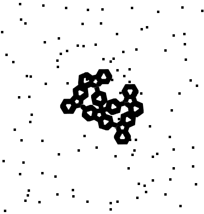 c1ccc2c(c1)c1ccccc1n2-c1ccc(C2(c3ccc(-n4c5ccccc5c5ccccc54)cc3)c3cc(-n4c5ccccc5c5ccccc54)ccc3-c3ccc(-n4c5ccccc5c5ccccc54)cc32)cc1